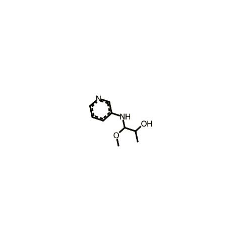 COC(Nc1cccnc1)C(C)O